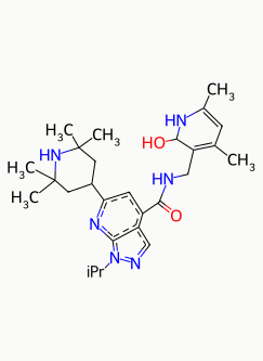 CC1=CC(C)=C(CNC(=O)c2cc(C3CC(C)(C)NC(C)(C)C3)nc3c2cnn3C(C)C)C(O)N1